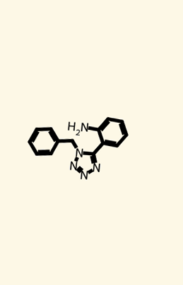 Nc1ccccc1-c1nnnn1Cc1ccccc1